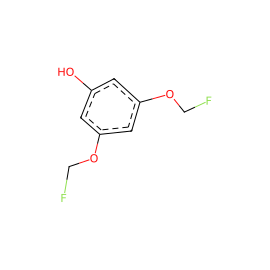 Oc1cc(OCF)cc(OCF)c1